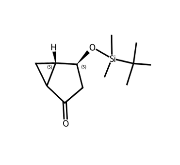 CC(C)(C)[Si](C)(C)O[C@H]1CC(=O)C2C[C@@H]21